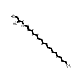 CCCCCCCCCCCCCCCC/C=C/SCC(O)CO